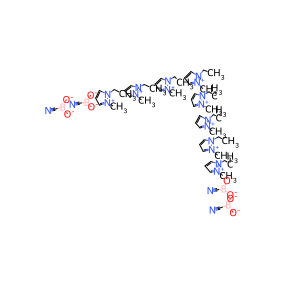 CCn1ccc[n+]1C.CCn1ccc[n+]1C.CCn1ccc[n+]1C.CCn1ccc[n+]1C.CCn1ccc[n+]1C.CCn1ccc[n+]1C.CCn1ccc[n+]1C.CCn1ccc[n+]1C.N#CB([O-])[O-].N#CB([O-])[O-].N#CB([O-])[O-].N#CB([O-])[O-]